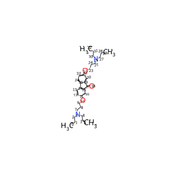 CCCN(CCC)CCCOc1ccc2c(c1)C(=O)c1cc(OCCCN(CCC)CCC)ccc1-2